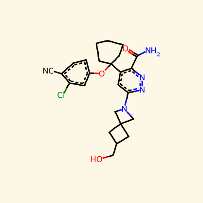 N#Cc1ccc(OC2(c3cc(N4CC5(CC(CO)C5)C4)nnc3C(N)=O)CCCCC2)cc1Cl